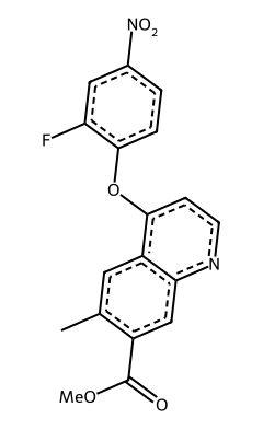 COC(=O)c1cc2nccc(Oc3ccc([N+](=O)[O-])cc3F)c2cc1C